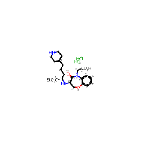 CCOC(=O)[C@@H](CCCC1CCNCC1)NC1COc2ccccc2N(CC(=O)O)C1=O.Cl.Cl